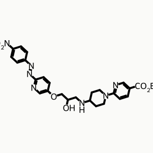 CCOC(=O)c1ccc(N2CCC(NCC(O)COc3ccc(N=Nc4ccc([N+](=O)[O-])cc4)nc3)CC2)nc1